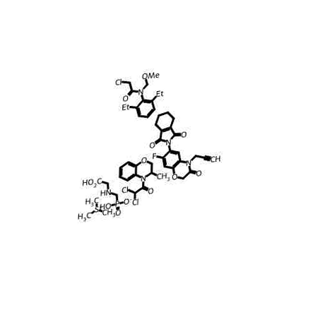 C#CCN1C(=O)COc2cc(F)c(N3C(=O)C4=C(CCCC4)C3=O)cc21.CC1COc2ccccc2N1C(=O)C(Cl)Cl.CCc1cccc(CC)c1N(COC)C(=O)CCl.C[S+](C)C.O=C(O)CNCP(=O)([O-])O